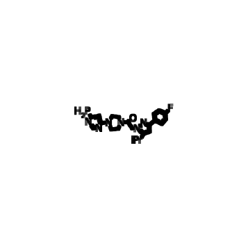 CC(C)c1cc(-c2ccc(F)cc2)nn1CC(=O)N1CCN(c2cc(P)ncn2)CC1